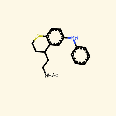 CC(=O)NCCC1CCSc2ccc(Nc3ccccc3)cc21